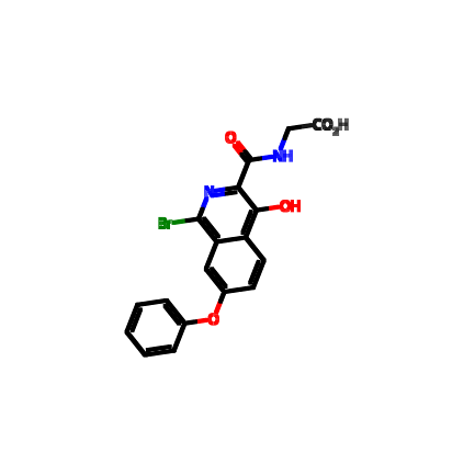 O=C(O)CNC(=O)c1nc(Br)c2cc(Oc3ccccc3)ccc2c1O